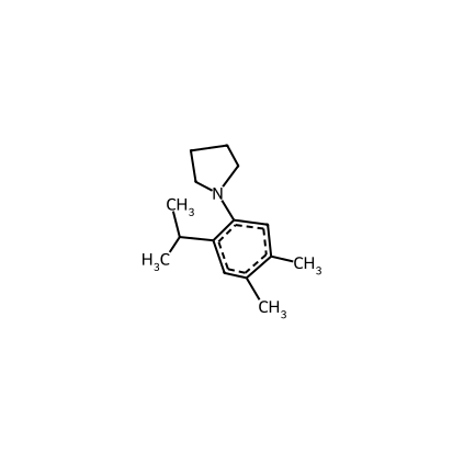 Cc1cc(C(C)C)c(N2CCCC2)cc1C